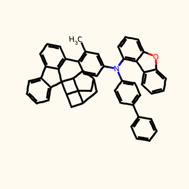 Cc1cc(N(c2ccc(-c3ccccc3)cc2)c2cccc3oc4ccccc4c23)ccc1-c1cccc2c1C1(c3ccccc3-2)C2CC3CC4CC1C42C3